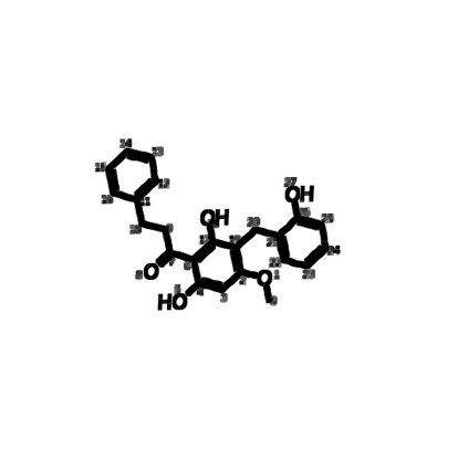 COc1cc(O)c(C(=O)CCc2ccccc2)c(O)c1Cc1ccccc1O